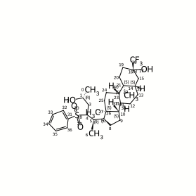 C[C@@H](O)CC([C@H](C)[C@@H]1CC[C@H]2[C@@H]3CC[C@H]4C[C@](O)(C(F)(F)F)CC[C@]4(C)[C@H]3CC[C@@]21C)S(=O)(=O)c1ccccc1